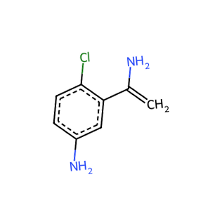 C=C(N)c1cc(N)ccc1Cl